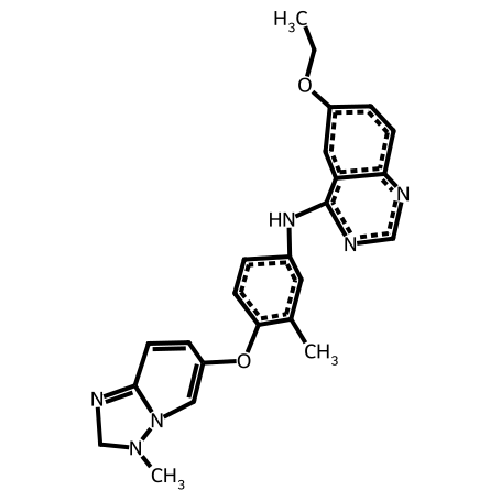 CCOc1ccc2ncnc(Nc3ccc(OC4=CN5C(=NCN5C)C=C4)c(C)c3)c2c1